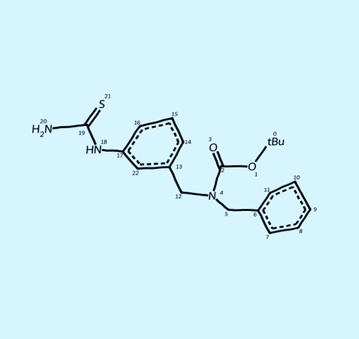 CC(C)(C)OC(=O)N(Cc1ccccc1)Cc1cccc(NC(N)=S)c1